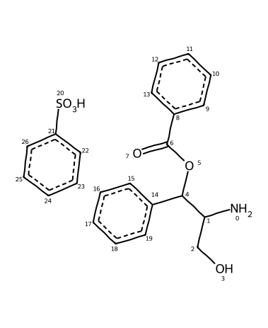 NC(CO)C(OC(=O)c1ccccc1)c1ccccc1.O=S(=O)(O)c1ccccc1